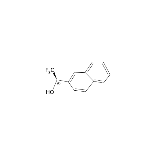 O[C@H](c1ccc2ccccc2c1)C(F)(F)F